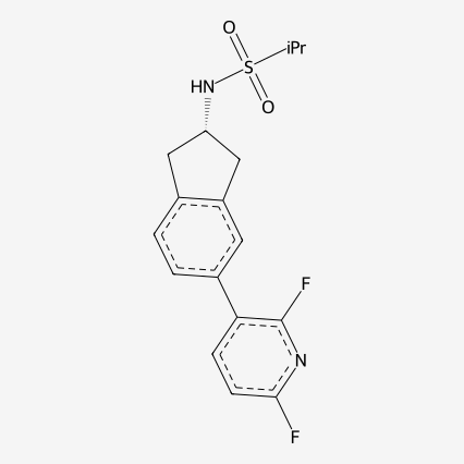 CC(C)S(=O)(=O)N[C@H]1Cc2ccc(-c3ccc(F)nc3F)cc2C1